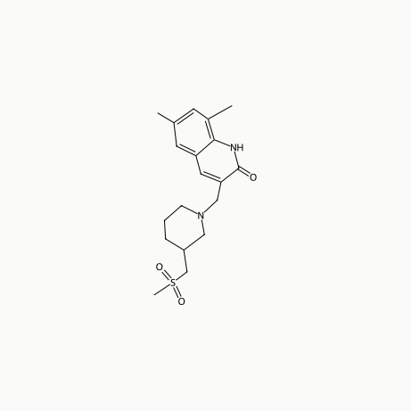 Cc1cc(C)c2[nH]c(=O)c(CN3CCCC(CS(C)(=O)=O)C3)cc2c1